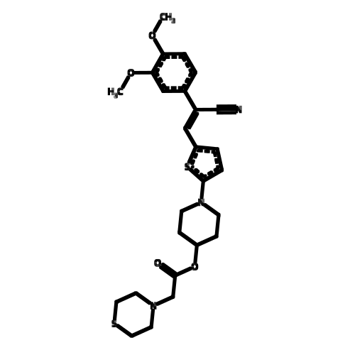 COc1ccc(C(C#N)=Cc2ccc(N3CCC(OC(=O)CN4CCSCC4)CC3)s2)cc1OC